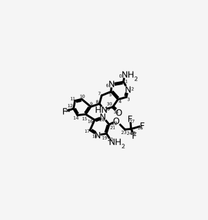 Nc1ncc2c(n1)CC(c1ccc(F)cc1-c1cnc(N)c(OCC(F)(F)F)n1)NC2=O